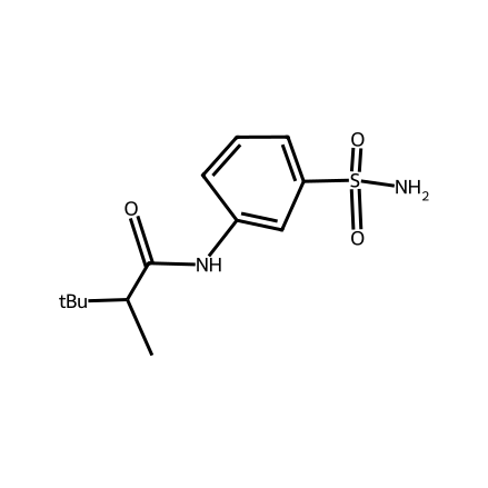 CC(C(=O)Nc1cccc(S(N)(=O)=O)c1)C(C)(C)C